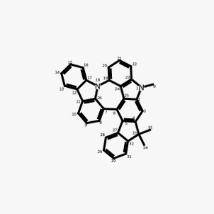 Cn1c2cc3c(c4c5cccc6c7ccccc7n(c7cccc1c7c42)c65)-c1ccccc1C3(C)C